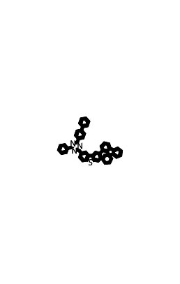 c1ccc(-c2ccc(-c3nc(-c4ccccc4)nc(-c4ccc5sc6ccc(-c7cccc8c7C7(CCCCC7)c7ccccc7-8)cc6c5c4)n3)cc2)cc1